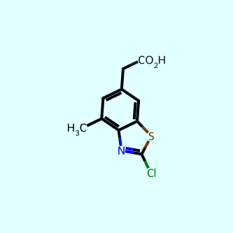 Cc1cc(CC(=O)O)cc2sc(Cl)nc12